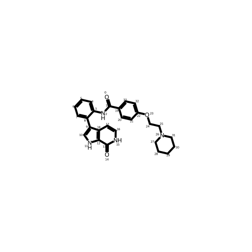 O=C(Nc1ccccc1-c1c[nH]c2c(=O)[nH]ccc12)c1ccc(OCCN2CCCCC2)cc1